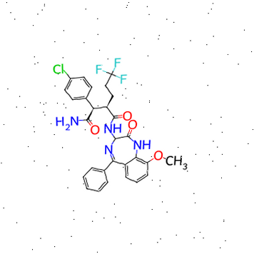 COc1cccc2c1NC(=O)C(NC(=O)[C@H](CCC(F)(F)F)[C@@H](C(N)=O)c1ccc(Cl)cc1)N=C2c1ccccc1